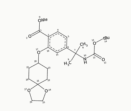 COC(=O)c1ccc(C(C)(C)NC(=O)OC(C)(C)C)cc1OC1CCC2(CC1)OCCO2